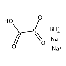 O=S([O-])S(=O)O.[BH4-].[Na+].[Na+]